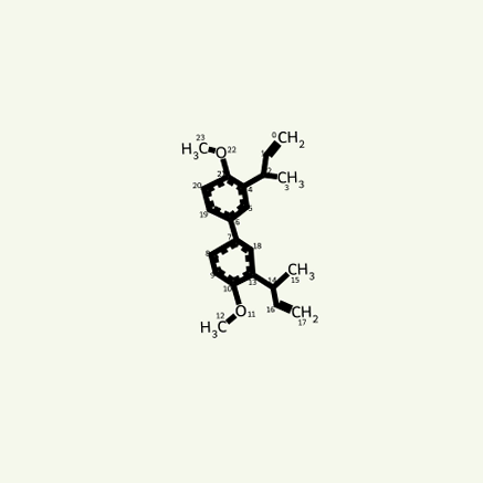 C=CC(C)c1cc(-c2ccc(OC)c(C(C)C=C)c2)ccc1OC